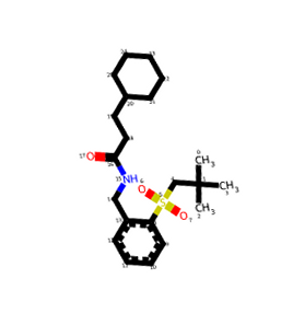 CC(C)(C)CS(=O)(=O)c1ccccc1CNC(=O)CCC1CCCCC1